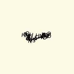 COC(=O)N[C@H](C(=O)N1CCC[C@H]1c1ncc(C#Cc2cc3sc(-c4cnc([C@@H]5CCCN5C(=O)[C@@H](NC(=O)OC)C(C)C)[nH]4)cc3s2)[nH]1)C(C)C